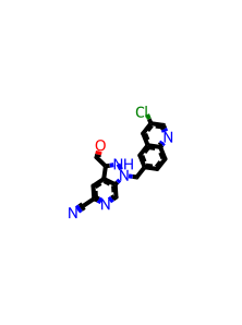 N#Cc1cc2c(cn1)N(Cc1ccc3ncc(Cl)cc3c1)NC2C=O